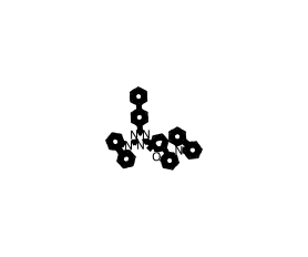 CC1(c2nc(-c3ccc(-c4ccccc4)cc3)nc(-n3c4ccccc4c4ccccc43)n2)C=CC=C2c3c(cccc3-n3c4ccccc4c4ccccc43)OC21